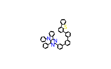 c1ccc(-c2nc(-c3cccc(-c4cccc(-c5cccc(-c6cccc7c6sc6ccccc67)c5)c4)c3)nc3c4ccccc4n(-c4ccccc4)c23)cc1